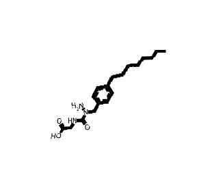 CCCCCCCCc1ccc(CN(N)C(=O)NCC(=O)O)cc1